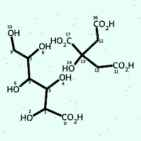 O=C(O)C(O)C(O)C(O)C(O)CO.O=C(O)CC(O)(CC(=O)O)C(=O)O